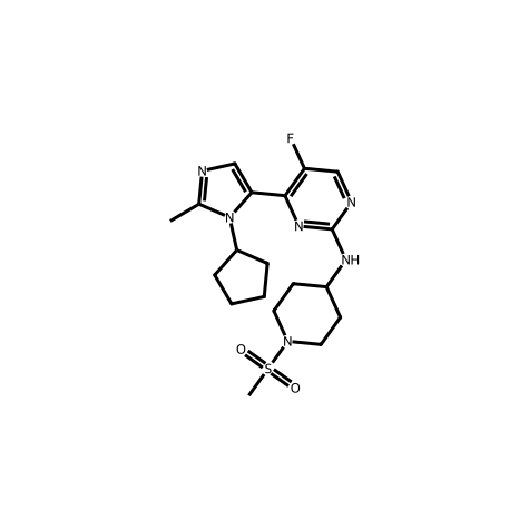 Cc1ncc(-c2nc(NC3CCN(S(C)(=O)=O)CC3)ncc2F)n1C1CCCC1